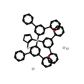 [Cl-].[Cl-].[Cl-].[Ti+3][C]1=C([Si](c2cc(-c3ccccc3)cc(-c3ccccc3)c2)(c2cc(-c3ccccc3)cc(-c3ccccc3)c2)c2cc(-c3ccccc3)cc(-c3ccccc3)c2)C=CC1